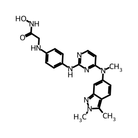 Cc1c2ccc(N(C)c3ccnc(Nc4ccc(NCC(=O)NO)cc4)n3)cc2nn1C